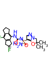 CC1(C)Cn2ncc(S(N)(=O)=NC(=O)Nc3c4c(c(F)c5c3C[C@@H](F)C5)CCC4)c2O1